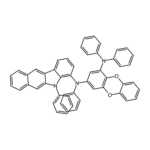 c1ccc(N(c2ccccc2)c2cc(N(c3ccccc3)c3cccc4c5cc6ccccc6cc5n(-c5ccccc5)c34)cc3c2Oc2ccccc2O3)cc1